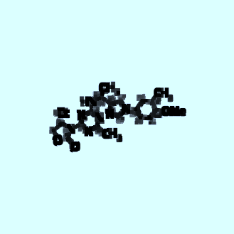 CC[C@H]1COC(=O)N1c1nc(C)nc(N[C@@H](C)c2cn(-c3ccc(OC)c(C)c3)cn2)n1